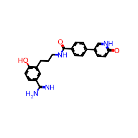 N=C(N)c1ccc(O)c(CCCNC(=O)c2ccc(-c3ccc(=O)[nH]c3)cc2)c1